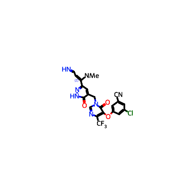 CN/C(=C\C=N)c1cc(Cn2cnc(C(F)(F)F)c(Oc3cc(Cl)cc(C#N)c3)c2=O)c(=O)[nH]n1